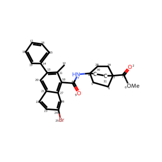 COC(=O)C12CCC(NC(=O)c3c(C)c(-c4ccccc4)cc4ccc(Br)cc34)(CC1)CC2